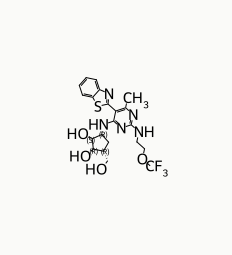 Cc1nc(NCCOC(F)(F)F)nc(N[C@@H]2C[C@H](CO)[C@@H](O)[C@H]2O)c1-c1nc2ccccc2s1